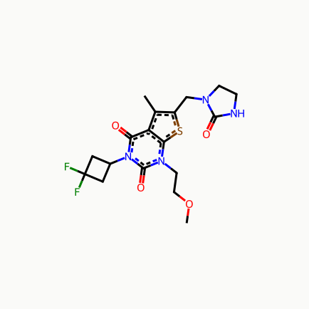 COCCn1c(=O)n(C2CC(F)(F)C2)c(=O)c2c(C)c(CN3CCNC3=O)sc21